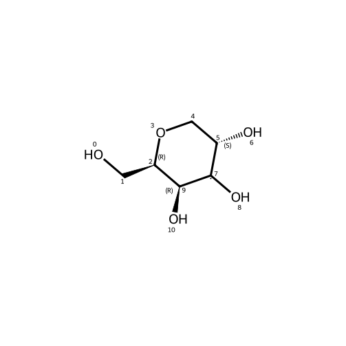 OC[C@H]1OC[C@H](O)[C](O)[C@H]1O